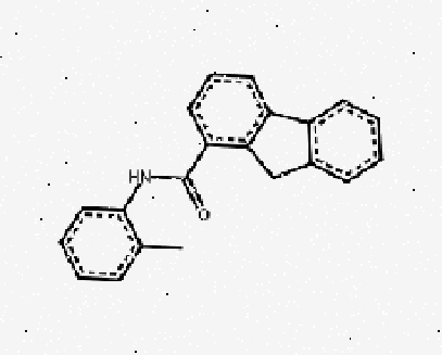 Cc1ccccc1NC(=O)c1cccc2c1Cc1ccccc1-2